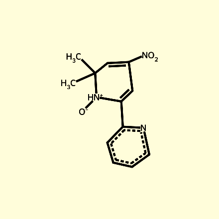 CC1(C)C=C([N+](=O)[O-])C=C(c2ccccn2)[NH+]1[O-]